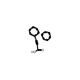 O=C(O)C#Cc1ccccc1.c1ccccc1